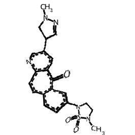 CN1CC(c2cnc3ccc4ccc(N5CCN(C)S5(=O)=O)cc4c(=O)c3c2)C=N1